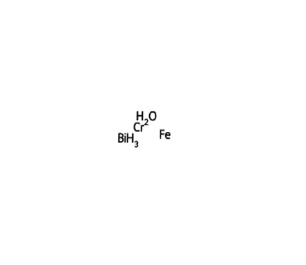 O.[BiH3].[Cr].[Fe]